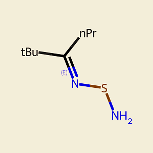 CCC/C(=N\SN)C(C)(C)C